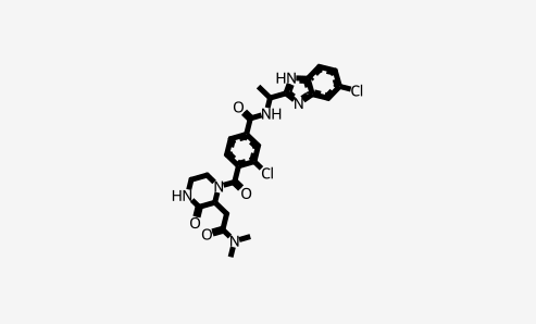 CC(NC(=O)c1ccc(C(=O)N2CCNC(=O)C2CC(=O)N(C)C)c(Cl)c1)c1nc2cc(Cl)ccc2[nH]1